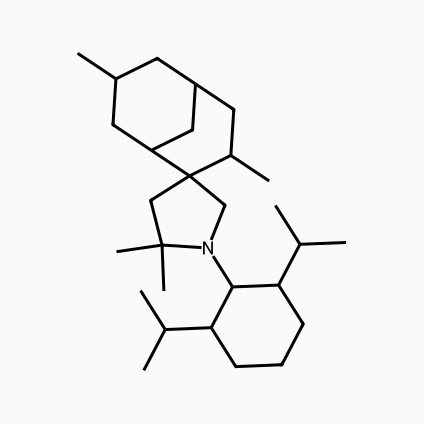 CC1CC2CC(C)C3(CN(C4C(C(C)C)CCCC4C(C)C)C(C)(C)C3)C(C1)C2